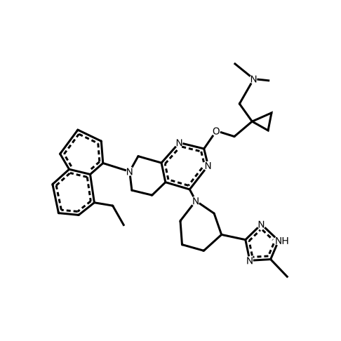 CCc1cccc2cccc(N3CCc4c(nc(OCC5(CN(C)C)CC5)nc4N4CCCC(c5n[nH]c(C)n5)C4)C3)c12